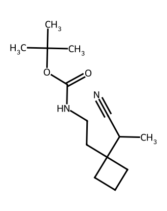 CC(C#N)C1(CCNC(=O)OC(C)(C)C)CCC1